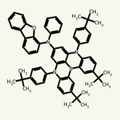 CC(C)(C)c1ccc(N2c3ccc(C(C)(C)C)cc3B3c4cc(C(C)(C)C)ccc4N(c4ccc(C(C)(C)C)cc4)c4cc(N(c5ccccc5)c5cccc6c5oc5ccccc56)cc2c43)cc1